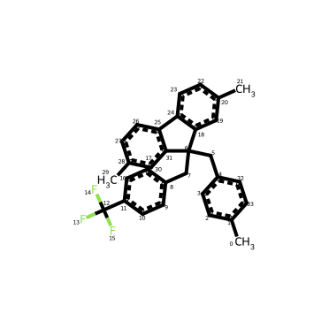 Cc1ccc(CC2(Cc3ccc(C(F)(F)F)cc3)c3cc(C)ccc3-c3ccc(C)cc32)cc1